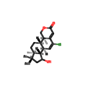 CC(=O)O[C@]1(C(C)=O)CC(O)[C@H]2[C@@H]3C=C(Cl)C4=CC(=O)OC[C@]4(C)[C@H]3CC[C@@]21C